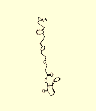 O=C(CCOCCOCCOCCO)ON1C(=O)CCC1=O